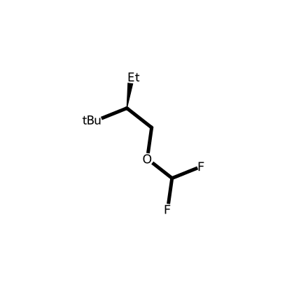 CC[C@@H](COC(F)F)C(C)(C)C